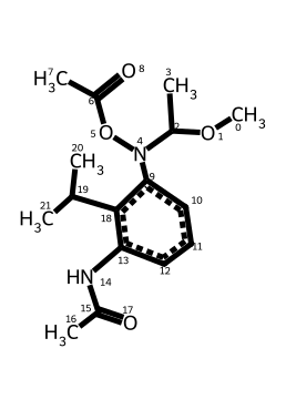 COC(C)N(OC(C)=O)c1cccc(NC(C)=O)c1C(C)C